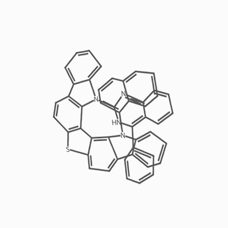 c1ccc(C2=c3ccccc3=NC(n3c4ccccc4c4ccc5sc6ccc7c8ccccc8n(-c8cccc9ccccc89)c7c6c5c43)N2)cc1